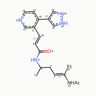 CC/C(=C\CC(C)NC(=O)/C=C/c1cnccc1-c1cn[nH]c1)NC(C)=O